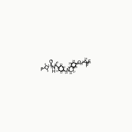 C[C@H](NC(=O)[C@H]1C[C@H](F)C1)c1ccc(CN2CCc3cc(OCC4CC4(F)F)ccc3C2)cc1